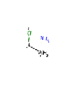 N.[AlH2][CH2]Cl